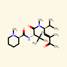 CC(=O)/C(C)=C/[C@H](C(C)C)N(C)C(=O)[C@@H](NC(=O)[C@H]1CCCCN1C)C(C)(C)C